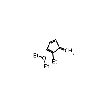 C=C1C=CC=C1CC.CCOCC